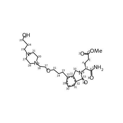 COC(=O)CC[C@@H](C(N)=O)N1Cc2c(CCCOCCN3CCN(CCCO)CC3)cccc2C1=O